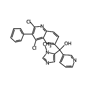 Cn1cncc1C(O)(c1cccnc1)c1ccc2nc(Cl)c(-c3ccccc3)c(Cl)c2c1